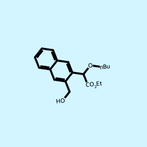 CCCCOC(C(=O)OCC)c1cc2ccccc2cc1CO